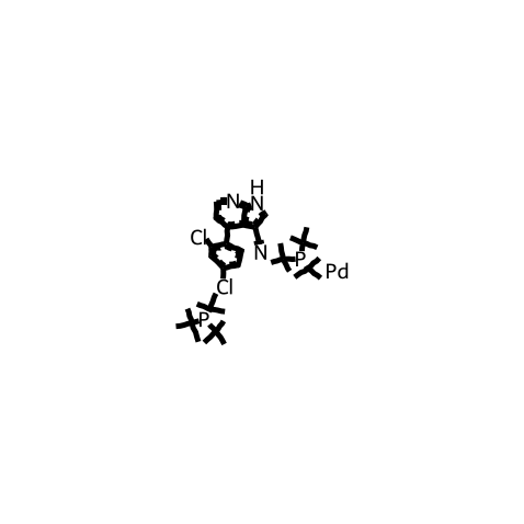 CC(C)(C)P(C(C)(C)C)C(C)(C)C.CC(C)(C)P(C(C)(C)C)C(C)(C)C.N#Cc1c[nH]c2nccc(-c3ccc(Cl)cc3Cl)c12.[Pd]